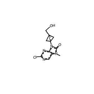 Cn1c(=O)n(C23CC(CO)(C2)C3)c2nc(Cl)ncc21